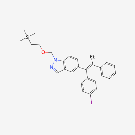 CC/C(=C(/c1ccc(I)cc1)c1ccc2c(cnn2COCC[Si](C)(C)C)c1)c1ccccc1